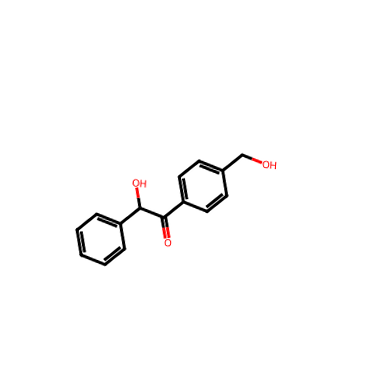 O=C(c1ccc(CO)cc1)C(O)c1ccccc1